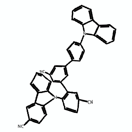 N#Cc1cc(-c2ccc(-n3c4ccccc4c4ccccc43)cc2)cc(-c2cc(C#N)ccc2-n2c3ccccc3c3cc(C#N)ccc32)c1